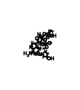 CC(=O)N1C[C@H](O)C[C@H]1COP(=O)(O)O[C@@]12C[C@H](C3C=Nc4c(N)ncnc43)O[C@@H]1C2OP(=O)(O)C(C)C